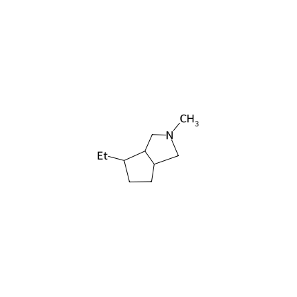 CCC1CCC2CN(C)CC12